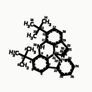 CC(C)(C)c1ccc2c3c1Nc1c(C(C)(C)C)ccc4c1[N+]3([n+]1ccccc1-2)[n+]1ccccc1-4